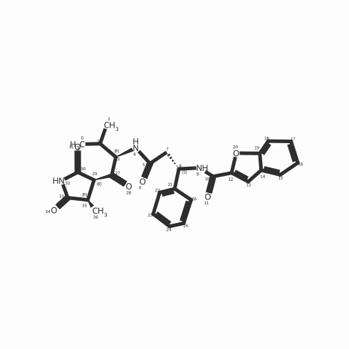 CC(C)[C@@H](NC(=O)C[C@H](NC(=O)c1cc2ccccc2o1)c1ccccc1)C(=O)[C@@H]1C(=O)NC(=O)[C@@H]1C